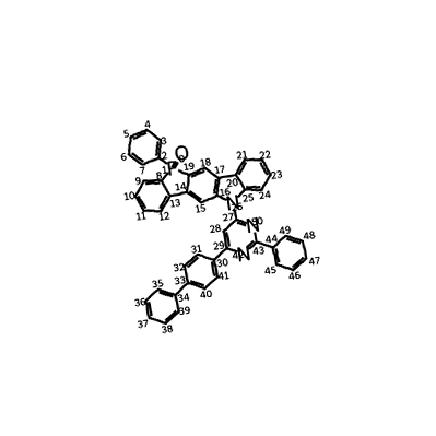 O=P1(c2ccccc2)c2ccccc2-c2cc3c(cc21)c1ccccc1n3-c1cc(-c2ccc(-c3ccccc3)cc2)nc(-c2ccccc2)n1